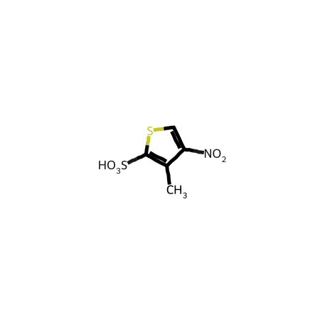 Cc1c([N+](=O)[O-])csc1S(=O)(=O)O